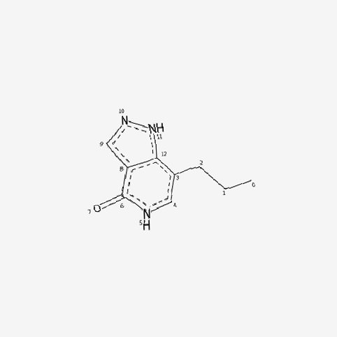 CCCc1c[nH]c(=O)c2cn[nH]c12